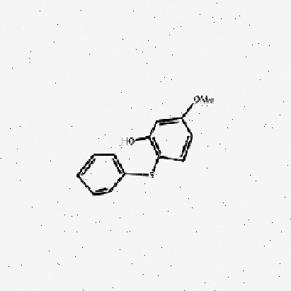 COc1ccc(Sc2ccccc2)c(O)c1